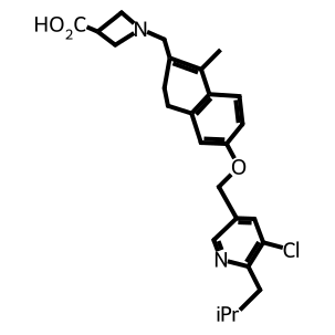 CC1=C(CN2CC(C(=O)O)C2)CCc2cc(OCc3cnc(CC(C)C)c(Cl)c3)ccc21